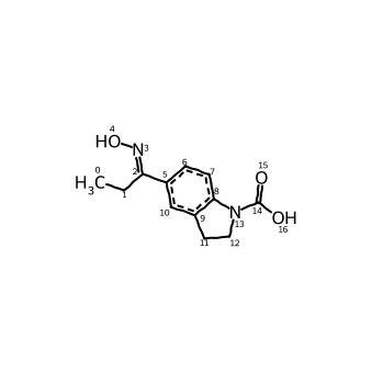 CC/C(=N\O)c1ccc2c(c1)CCN2C(=O)O